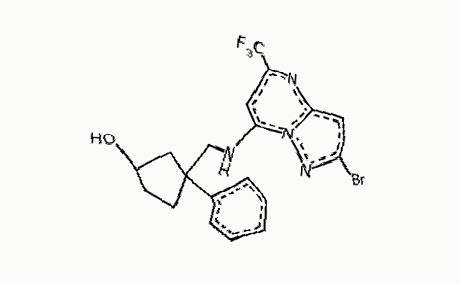 OC1CCC(CNc2cc(C(F)(F)F)nc3cc(Br)nn23)(c2ccccc2)C1